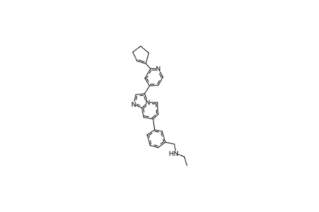 CCNCc1cccc(-c2ccn3c(-c4ccnc(C5=CCCC5)c4)cnc3c2)c1